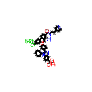 Cl.Cl.O=C(O)c1ccc2c(c1)nc(-c1ccc(OCc3cc(C(=O)NCCc4ccncc4)ccc3-c3ccc(Cl)cc3)cc1)n2C1CCCCC1